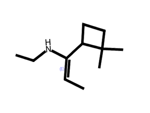 C/C=C(/NCC)C1CCC1(C)C